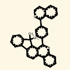 CC1(C)c2ccccc2-c2ccc3c(c(-c4ccc(-c5nccc6ccccc56)cc4)nc4ccccc43)c21